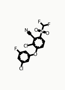 N#Cc1c(S(=O)(=O)C(F)F)ccc(Oc2cc(F)cc(Cl)c2)c1Cl